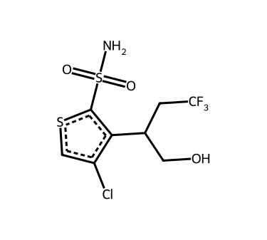 NS(=O)(=O)c1scc(Cl)c1C(CO)CC(F)(F)F